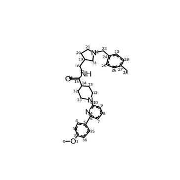 COc1ccc(-c2cccc(N3CCC(C(=O)NCC4CCN(Cc5ccc(C)cc5)C4)CC3)n2)cc1